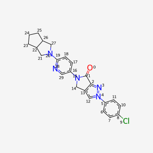 O=C1c2nn(-c3ccc(Cl)cc3)cc2CN1c1ccc(N2CC3CCCC3C2)nc1